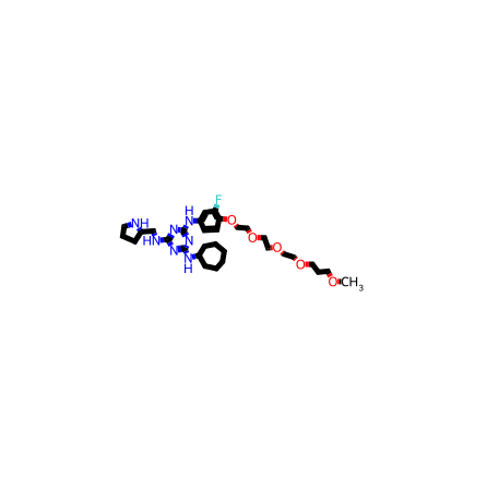 COCCCOCCOCCOCCOc1ccc(Nc2nc(NCC3CCCN3)nc(NC3CCCCCC3)n2)cc1F